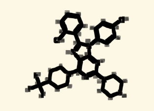 FC(F)(F)C1CCN(c2nc(N3CCSCC3)nc3c2nc(-c2ccccc2Cl)n3-c2ccc(Cl)cc2)CC1